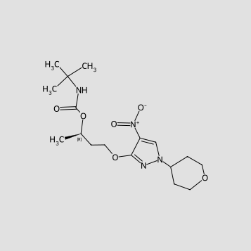 C[C@H](CCOc1nn(C2CCOCC2)cc1[N+](=O)[O-])OC(=O)NC(C)(C)C